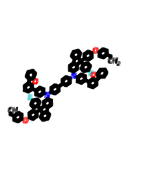 C=Cc1ccc(Oc2ccc(C3(c4ccc(F)cc4)c4ccccc4-c4ccc(N(c5ccc(-c6ccc(N(c7ccc(-c8cccc9c8oc8ccccc89)cc7)c7ccc8c(c7)C(c7ccc(F)cc7)(c7ccc(Oc9ccc(C=C)cc9)cc7)c7ccccc7-8)cc6)cc5)c5ccc(-c6cccc7c6oc6ccccc67)cc5)cc43)cc2)cc1